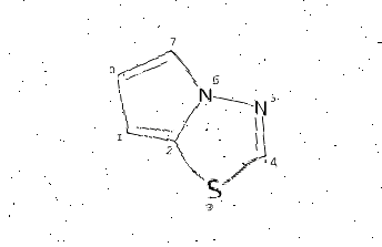 [c]1cc2s[c]nn2c1